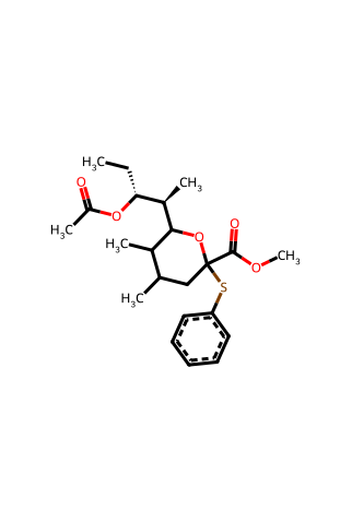 CC[C@@H](OC(C)=O)[C@@H](C)C1OC(Sc2ccccc2)(C(=O)OC)CC(C)C1C